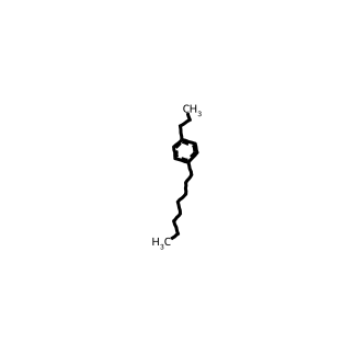 CCCCCCCCc1ccc(CCC)cc1